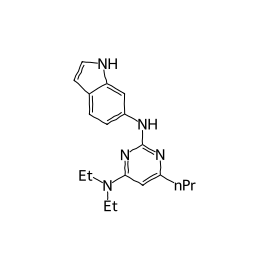 CCCc1cc(N(CC)CC)nc(Nc2ccc3cc[nH]c3c2)n1